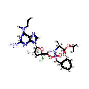 CCCN(C)c1nc(N)nc2c1ncn2[C@@H]1O[C@](F)(COP(=O)(Cc2ccccc2)N[C@@H](C)C(=O)OC(C)C)C[C@@H]1C